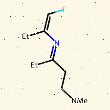 CCC(=C/F)/N=C(\CC)CCNC